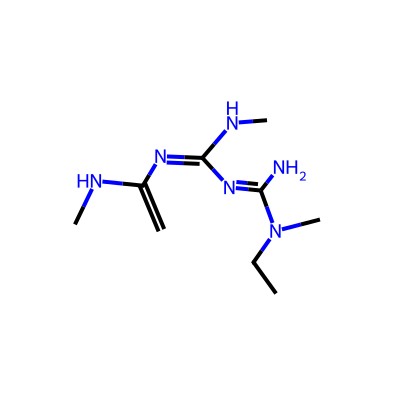 C=C(/N=C(\N=C(/N)N(C)CC)NC)NC